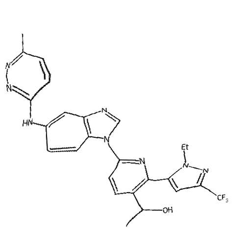 CCn1nc(C(F)(F)F)cc1-c1nc(-n2cnc3cc(Nc4ccc(C)nn4)ccc32)ccc1C(C)O